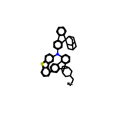 CCC1CC2CCCC(C1)C21c2ccccc2-c2c(N(c3ccc4c(c3)C3(c5ccccc5-4)C4CC5CC(C4)CC3C5)c3ccc4sc5ccccc5c4c3)cccc21